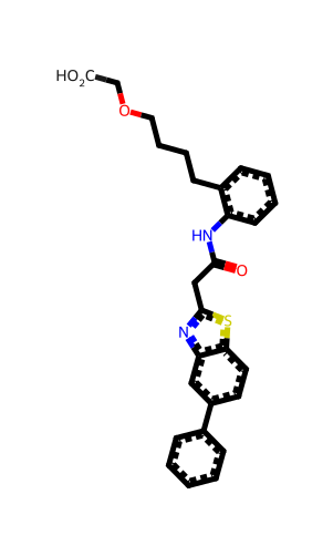 O=C(O)COCCCCc1ccccc1NC(=O)Cc1nc2cc(-c3ccccc3)ccc2s1